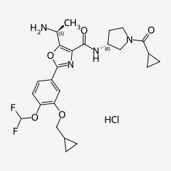 C[C@H](N)c1oc(-c2ccc(OC(F)F)c(OCC3CC3)c2)nc1C(=O)N[C@@H]1CCN(C(=O)C2CC2)C1.Cl